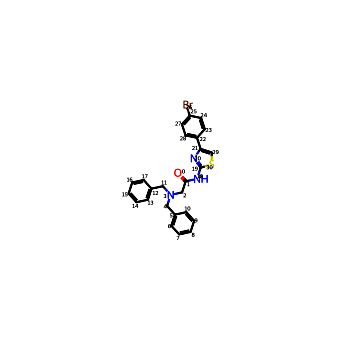 O=C(CN(Cc1ccccc1)Cc1ccccc1)Nc1nc(-c2ccc(Br)cc2)cs1